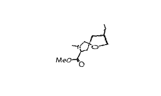 COC(=O)C1CC2(CC(I)CO2)CN1C